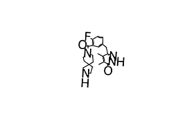 Cc1c(Cc2ccc(F)c(C(=O)N3CCC4(CCNC4)CC3)c2)n[nH]c(=O)c1C